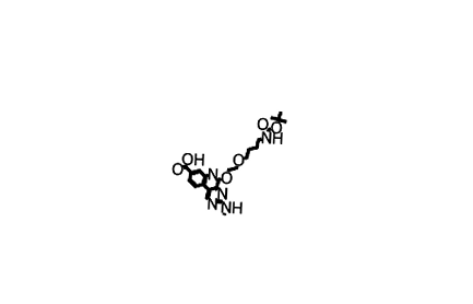 CNc1ncc2c(n1)c(OCCOCCCCNC(=O)OC(C)(C)C)nc1cc(C(=O)O)ccc12